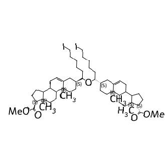 COC(=O)[C@H]1CCC2C3CC=C4C[C@@H](C(CCCCCI)OC(CCCCCI)[C@H]5CC[C@@]6(C)C(=CCC7C6CC[C@@]6(C)C7CC[C@@H]6C(=O)OC)C5)CC[C@]4(C)C3CC[C@@]21C